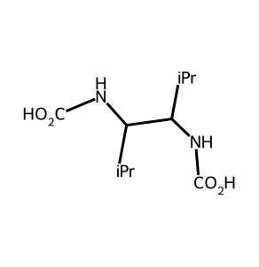 CC(C)C(NC(=O)O)C(NC(=O)O)C(C)C